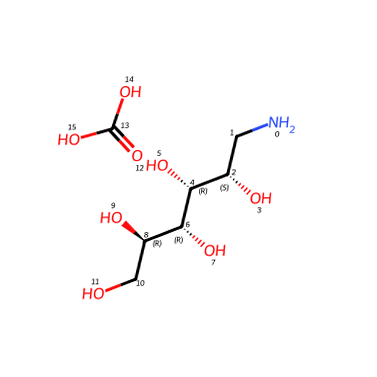 NC[C@H](O)[C@@H](O)[C@H](O)[C@H](O)CO.O=C(O)O